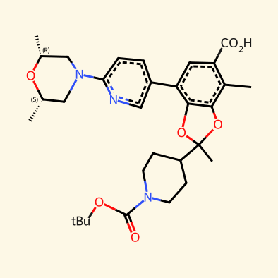 Cc1c(C(=O)O)cc(-c2ccc(N3C[C@@H](C)O[C@@H](C)C3)nc2)c2c1OC(C)(C1CCN(C(=O)OC(C)(C)C)CC1)O2